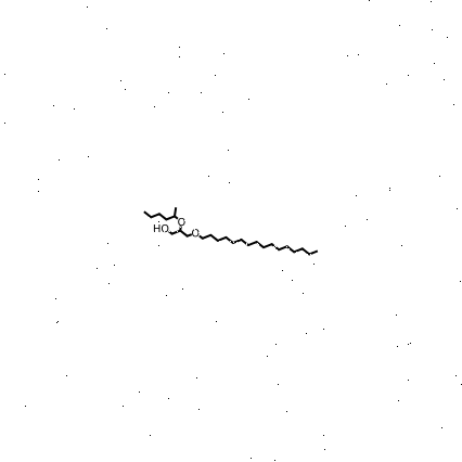 CCCCCCCCCCCCCCCCOCC(CO)OC(C)CCCC